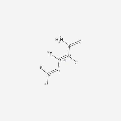 C=C(N)/C(C)=C(\F)C=C(C)C